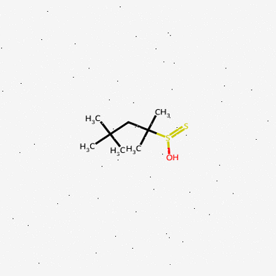 CC(C)(C)CC(C)(C)S(O)=S